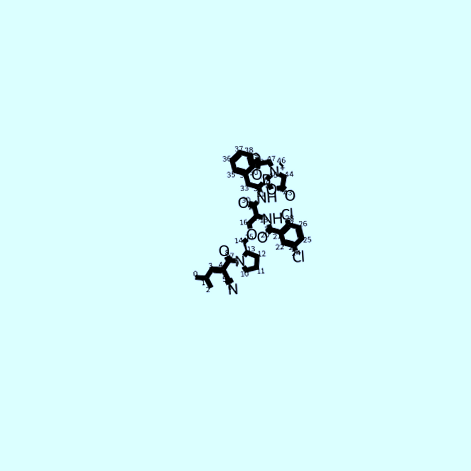 CC(C)C=C(C#N)C(=O)N1CCC[C@@H]1COCC(NC(=O)c1cc(Cl)ccc1Cl)C(=O)NC(Cc1ccccc1)[B-]12OC(=O)C[N+]1(C)CC(=O)O2